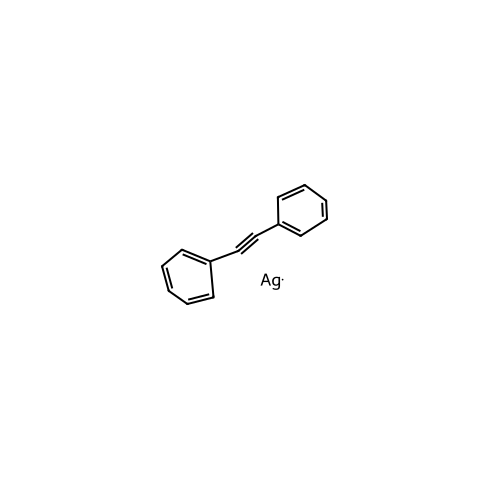 C(#Cc1ccccc1)c1ccccc1.[Ag]